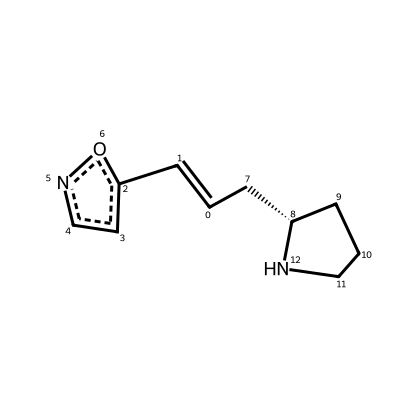 C(=Cc1ccno1)C[C@@H]1CCCN1